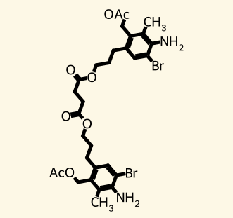 CC(=O)OCc1c(CCCOC(=O)CCC(=O)OCCCc2cc(Br)c(N)c(C)c2COC(C)=O)cc(Br)c(N)c1C